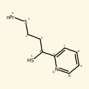 CCCSCCC(S)c1ccccn1